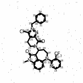 CN1C(=O)C2c3c1cccc3N(c1ncccc1C(F)(F)F)CCC2N1CCc2c(nn(Cc3ccccc3)c2Cl)C1=O